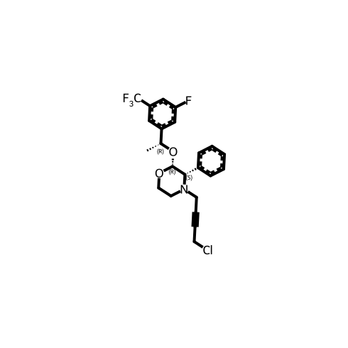 C[C@@H](O[C@H]1OCCN(CC#CCCl)[C@H]1c1ccccc1)c1cc(F)cc(C(F)(F)F)c1